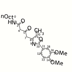 CCCCCCCCNC(=O)CC(=O)Cc1nc(-c2ccc(OC)c(OC)c2)oc1C